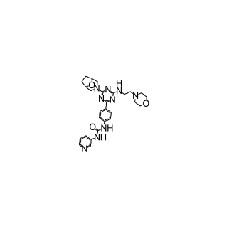 O=C(Nc1ccc(-c2nc(NCCN3CCOCC3)nc(N3CC4CCC(C3)O4)n2)cc1)Nc1cccnc1